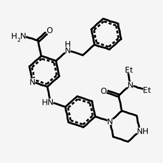 CCN(CC)C(=O)C1CNCCN1c1ccc(Nc2cc(NCc3ccccc3)c(C(N)=O)cn2)cc1